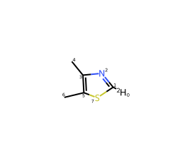 [2H]c1nc(C)c(C)s1